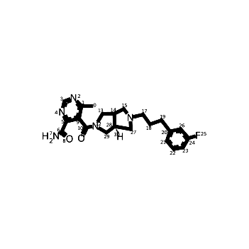 Cc1ncnc(C(N)=O)c1C(=O)N1CC2CN(CC[CH]c3cccc(F)c3)C[C@H]2C1